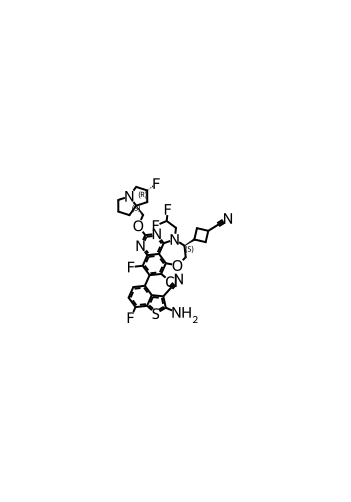 N#Cc1c(N)sc2c(F)ccc(-c3c(Cl)c4c5c(nc(OC[C@@]67CCCN6C[C@H](F)C7)nc5c3F)N(CC(F)F)[C@@H](C3CC(C#N)C3)CO4)c12